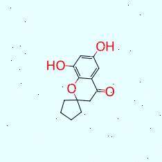 O=C1CC2(CCCC2)Oc2c(O)cc(O)cc21